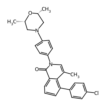 Cc1cn(-c2ccc(N3C[C@@H](C)O[C@@H](C)C3)cc2)c(=O)c2cccc(-c3ccc(Cl)cc3)c12